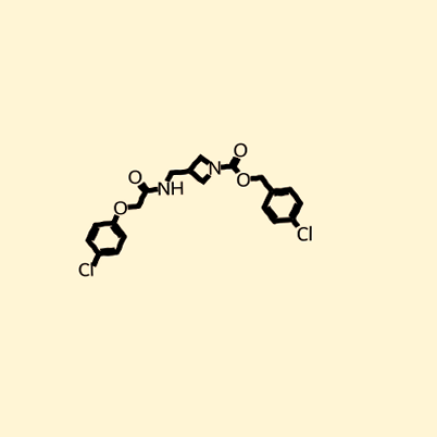 O=C(COc1ccc(Cl)cc1)NCC1CN(C(=O)OCc2ccc(Cl)cc2)C1